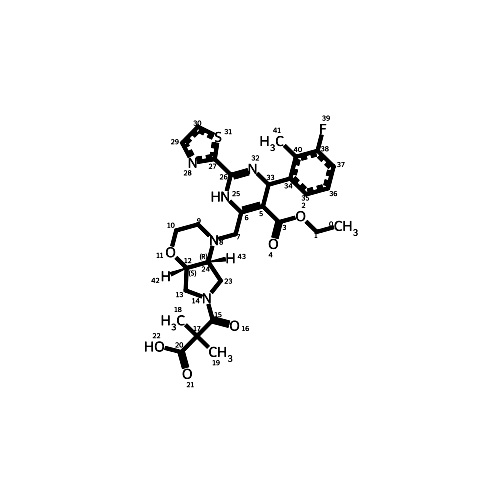 CCOC(=O)C1=C(CN2CCO[C@H]3CN(C(=O)C(C)(C)C(=O)O)C[C@H]32)NC(c2nccs2)=NC1c1cccc(F)c1C